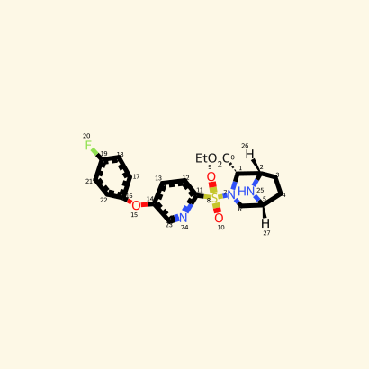 CCOC(=O)[C@@H]1[C@@H]2CC[C@H](CN1S(=O)(=O)c1ccc(Oc3ccc(F)cc3)cn1)N2